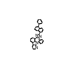 c1ccc(-c2cccc3c(-c4nsc(-c5cccc6c7cccnc7n(-c7ccccc7)c56)n4)cccc23)cc1